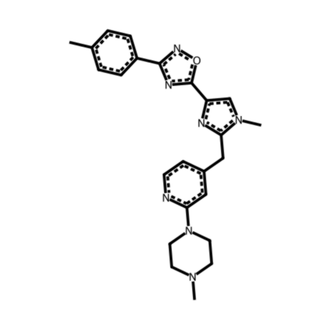 Cc1ccc(-c2noc(-c3cn(C)c(Cc4ccnc(N5CCN(C)CC5)c4)n3)n2)cc1